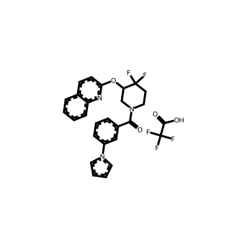 O=C(O)C(F)(F)F.O=C(c1cccc(-n2cccc2)c1)N1CCC(F)(F)C(Oc2ccc3ccccc3n2)C1